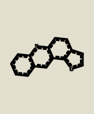 c1ccc2nc3ccc4ccoc4c3cc2c1